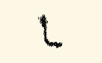 Cn1c2ccncc2c2ccc(-c3ccc(OC4CC5(C4)CN(CCCCOCCCCOc4ccc6c(c4)C(=O)N(C4CCC(=O)NC4=O)C6=O)C5)nc3)cc21